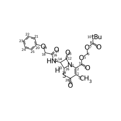 CC1=C(C(=O)OCOC(=O)C(C)(C)C)N2C(=O)C(NC(=O)COc3ccccc3)[C@@H]2SC1=O